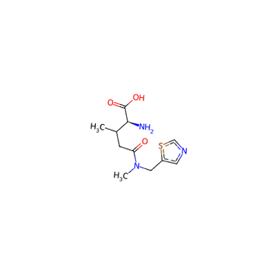 CC(CC(=O)N(C)Cc1cncs1)[C@H](N)C(=O)O